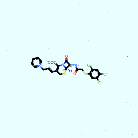 O=C(CSc1cc(Cl)c(Cl)cc1Cl)N[C@@H]1C(=O)N2C(C(=O)[O-])=C(C=CC[n+]3ccccc3)CS[C@H]12